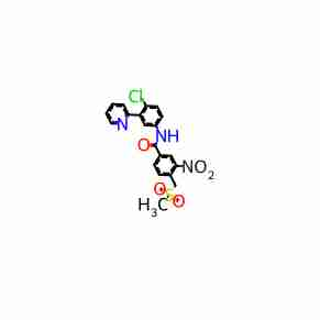 CS(=O)(=O)Cc1ccc(C(=O)Nc2ccc(Cl)c(-c3ccccn3)c2)cc1[N+](=O)[O-]